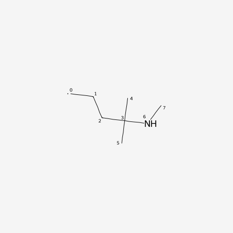 [CH2]CCC(C)(C)NC